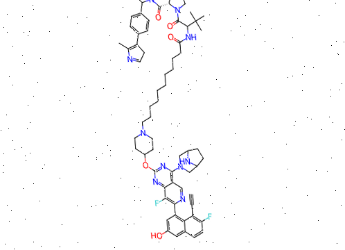 C#Cc1c(F)ccc2cc(O)cc(-c3ncc4c(N5CC6CCC(C5)N6)nc(OC5CCN(CCCCCCCCCCC(=O)NC(C(=O)N6CCC[C@H]6C(=O)NC(C)c6ccc(C7=C(C)N=CC7)cc6)C(C)(C)C)CC5)nc4c3F)c12